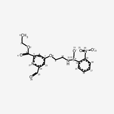 CCOC(=O)c1cc(OCCN[S+]([O-])c2ccccc2[N+](=O)[O-])cc(C=O)n1